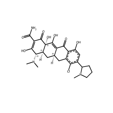 CN1CCCC1c1cc(O)c2c(c1Cl)C[C@H]1C[C@H]3[C@H](N(C)C)C(O)=C(C(N)=O)C(=O)[C@@]3(O)C(O)=C1C2=O